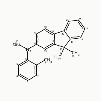 Cc1ccccc1N(c1ccc2c(c1)C(C)(C)c1ccccc1-2)C(C)(C)C